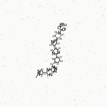 Cn1cc(-c2cnc3nnn(Cc4cccc(-c5ncc(-c6cnn(C7CCN(C(=O)OC(C)(C)C)CC7)c6)cn5)c4)c3n2)cn1